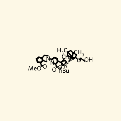 CCCCOC(=O)c1nc(N2CCc3cccc(C(=O)OC)c3C2)ccc1-c1cnn(CC23CC4(C)CC(C)(C2)CC(OCCO)(C4)C3)c1C